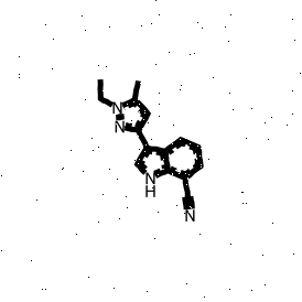 CCn1nc(-c2c[nH]c3c(C#N)cccc23)cc1C